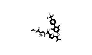 CCOC(=O)[C@@H](O)CNC(=O)c1ccc(C(Oc2cc(C)c(-c3ccc(C(F)(F)F)cc3)c(C)c2)=C(C)C)s1